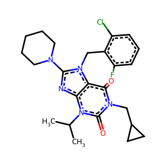 CC(C)n1c(=O)n(CC2CC2)c(=O)c2c1nc(N1CCCCC1)n2Cc1c(F)cccc1Cl